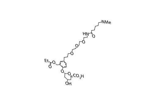 CCC(=O)OCc1cc(CCCOCCOCCOCCNC(=O)CCCCCNC)ccc1OC1CC(O)C[C@@H](C(=O)O)O1